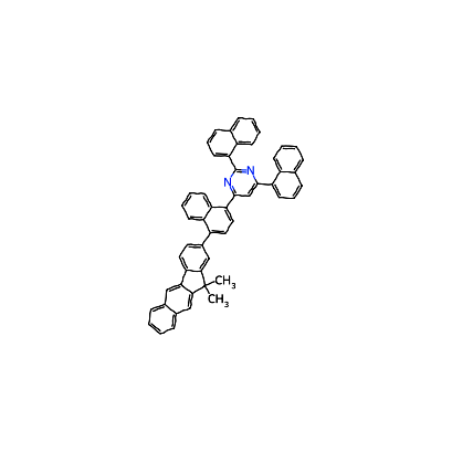 CC1(C)c2cc(-c3ccc(-c4cc(-c5cccc6ccccc56)nc(-c5cccc6ccccc56)n4)c4ccccc34)ccc2-c2cc3ccccc3cc21